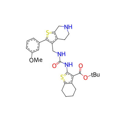 COc1cccc(-c2sc3c(c2CNC(=O)Nc2sc4c(c2C(=O)OC(C)(C)C)CCCC4)CCNC3)c1